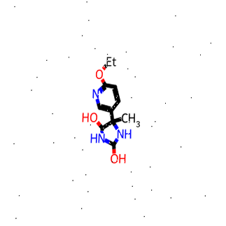 CCOc1ccc(C2(C)NC(O)NC2O)cn1